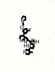 Cc1ccncc1-c1ccc2[nH]nc(-c3cc4c(-c5cc(F)cc(OCCN6CCCC6)c5)ccnc4[nH]3)c2n1